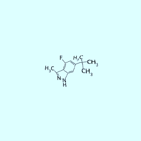 Cc1n[nH]c2cc(C(C)(C)C)cc(F)c12